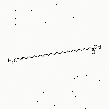 CCC=CCCCCCCCCCCCCCCCCCCCCCCCCC(=O)O